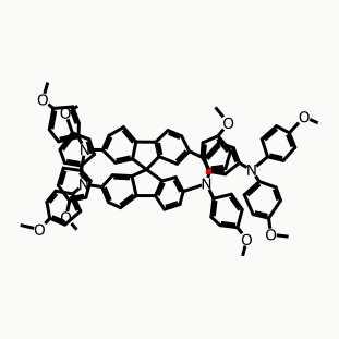 COc1ccc(N(c2ccc(OC)cc2)c2ccc(-c3ccc4c(c3)C3(c5cc(N(c6ccc(OC)cc6)c6ccc(OC)cc6)ccc5-4)c4cc(N(c5ccc(OC)cc5)c5ccc(OC)cc5)ccc4-c4ccc(N(c5ccc(OC)cc5)c5ccc(OC)cc5)cc43)cc2)cc1